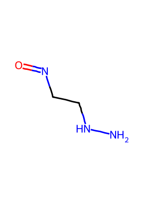 NNCCN=O